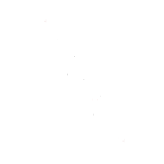 BrCCCOCCCOCCCBr